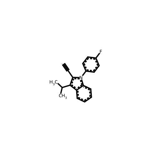 [C]#Cc1c(C(C)C)c2ccccc2n1-c1ccc(F)cc1